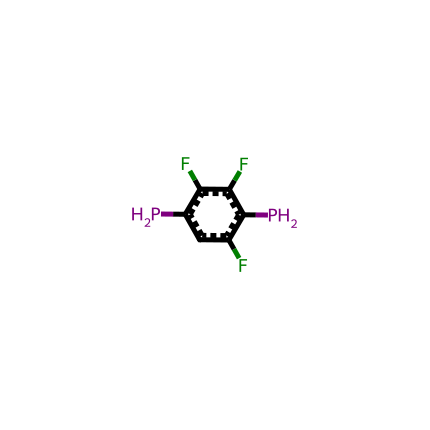 Fc1cc(P)c(F)c(F)c1P